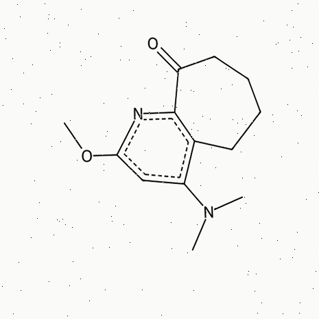 COc1cc(N(C)C)c2c(n1)C(=O)CCCC2